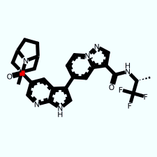 C[C@@H](NC(=O)c1cnn2ccc(-c3c[nH]c4ncc(C(=O)N5C6CCC5CN(C)C6)cc34)cc12)C(F)(F)F